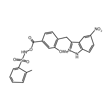 COc1cc(C(=O)ONS(=O)(=O)c2ccccc2C)ccc1Cc1n[nH]c2ccc([N+](=O)[O-])cc12